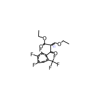 CCO/C=C(/C(=O)OCC)C(=O)c1c(C(F)(F)F)cc(F)c(F)c1F